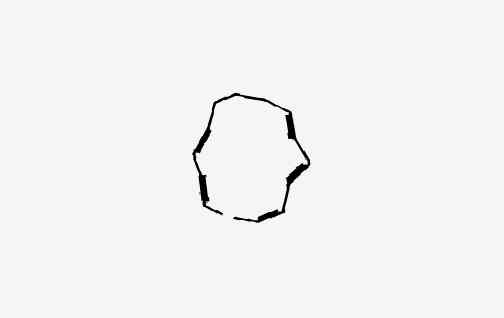 [C]1=C/C=C\C/C=C/C=C/CCC/C=C/1